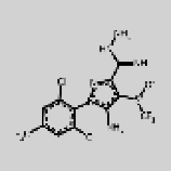 N=C(NN)c1nn(-c2c(Cl)cc(C(F)(F)F)cc2Cl)c(N)c1[S+]([O-])C(F)(F)F